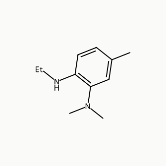 CCNc1ccc(C)cc1N(C)C